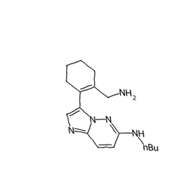 CCCCNc1ccc2ncc(C3=C(CN)CCCC3)n2n1